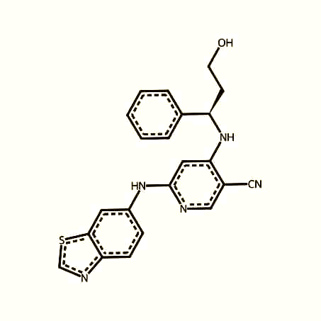 N#Cc1cnc(Nc2ccc3ncsc3c2)cc1N[C@H](CCO)c1ccccc1